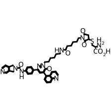 N[C@@H](CSC1CC(=O)N(CCCCCC(=O)NCCCCCCn2nc(-c3ccc(NC(=O)N4Cc5ccncc5C4)cc3)cc(-c3cccc4ncccc34)c2=O)C1=O)C(=O)O